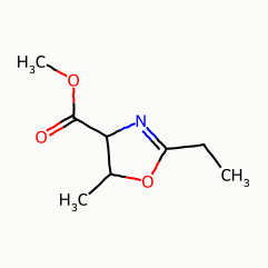 CCC1=NC(C(=O)OC)C(C)O1